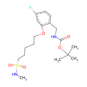 CNS(=O)(=O)CCCCCOc1cc(F)ccc1CNC(=O)OC(C)(C)C